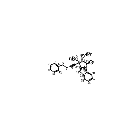 CCCCC1(C#CCCc2ccccc2)c2cc3ccccc3n2C(=O)N1OC(C)C